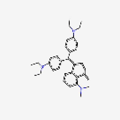 C=c1ccc(=C(c2ccc(N(CC)CC)cc2)c2ccc(N(CC)CC)cc2)c2cccc(N(C)C)c12